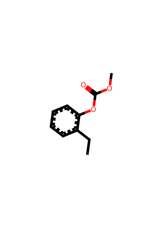 CCc1ccccc1OC(=O)OC